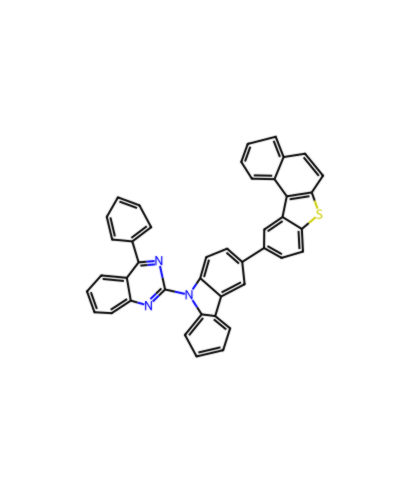 c1ccc(-c2nc(-n3c4ccccc4c4cc(-c5ccc6sc7ccc8ccccc8c7c6c5)ccc43)nc3ccccc23)cc1